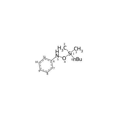 CCCC[Si](C)(C)ONc1ccccc1